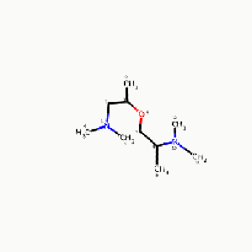 CC(CN(C)C)OCC(C)N(C)C